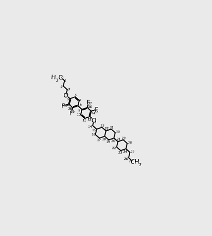 CCCCOc1ccc(-c2ccc(OCC3CCC4CC(C5CCC(CCC)CC5)CCC4C3)c(F)c2F)c(F)c1F